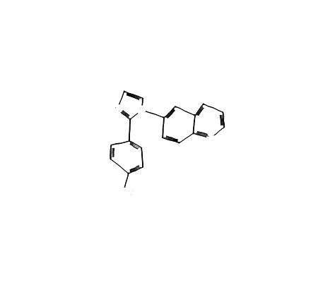 COc1ccc(-c2nccn2-c2ccc3ncccc3c2)cc1